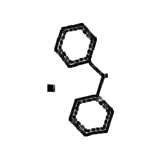 [C](c1ccccc1)c1ccccc1.[N]